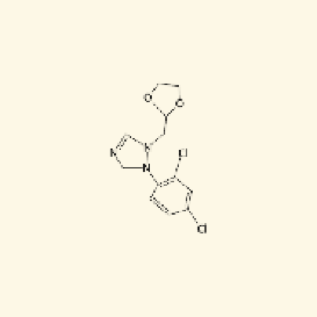 Clc1ccc(N2CN=CN2CC2OCCO2)c(Cl)c1